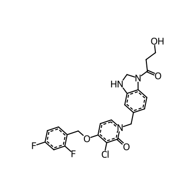 O=C(CCO)N1CNc2cc(Cn3ccc(OCc4ccc(F)cc4F)c(Cl)c3=O)ccc21